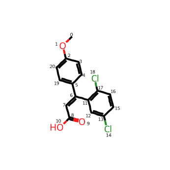 COc1ccc(C(=CC(=O)O)c2cc(Cl)ccc2Cl)cc1